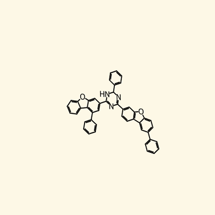 c1ccc(-c2ccc3oc4cc(C5=NC(c6ccccc6)NC(c6cc(-c7ccccc7)c7c(c6)oc6ccccc67)=N5)ccc4c3c2)cc1